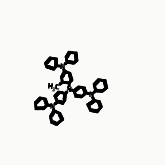 CC1C=C(N(c2ccccc2)c2ccccc2)C=CC1N(c1ccc(N(c2ccccc2)c2ccccc2)cc1)c1ccc(N(c2ccccc2)c2ccccc2)cc1